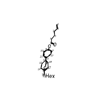 C=CCCCC(=O)Oc1ccc(C23CCC(CCCCCC)(CC2)CC3)cc1